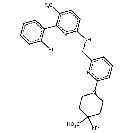 CCCC1(C(=O)O)CCN(c2cccc(SNc3ccc(C(F)(F)F)c(-c4ccccc4CC)n3)n2)CC1